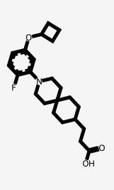 O=C(O)CCC1CCC2(CC1)CCN(c1cc(OC3CCC3)ccc1F)CC2